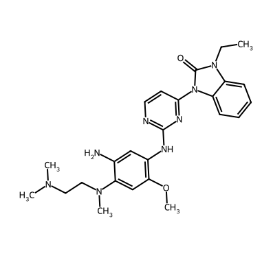 CCn1c(=O)n(-c2ccnc(Nc3cc(N)c(N(C)CCN(C)C)cc3OC)n2)c2ccccc21